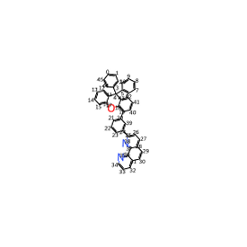 c1ccc(C2(c3ccccc3)c3ccccc3Oc3c(-c4cccc(-c5ccc6ccc7cccnc7c6n5)c4)cccc32)cc1